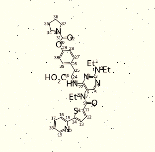 CCN(CC)c1ncc(N(CC)C(=O)c2ccc(-c3ccccn3)s2)c(N[C@@H](Cc2ccc(OC(=O)N3CCCC3)cc2)C(=O)O)n1